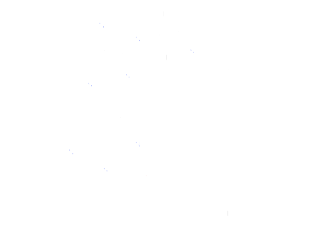 Cc1ccc(S(=O)(=O)n2cc(-c3ncc4ncn(C(C)(C)C(=O)NCC(F)(F)F)c4n3)c3cncnc32)cc1